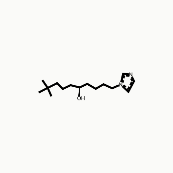 CC(C)(C)CCC[C@H](O)CCCCn1ccnc1